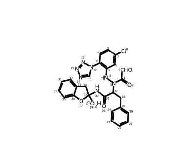 O=CC(=O)N(Nc1cc(Cl)ccc1-n1cnnn1)C(Cc1ccccc1)C(=O)NC1(C(=O)O)Cc2ccccc2O1